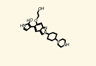 OCCOc1cc2nn(C3CCC(N4CCNCC4)CC3)cc2cc1-c1cc[nH]c1O